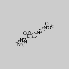 Cc1cn2cc(-c3cc4ccc(N5CC6(CN(C(=O)OC(C)(C)C)C6)C5)cc4oc3=O)nc2c(C)n1